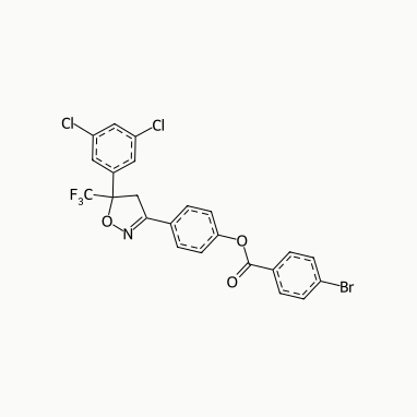 O=C(Oc1ccc(C2=NOC(c3cc(Cl)cc(Cl)c3)(C(F)(F)F)C2)cc1)c1ccc(Br)cc1